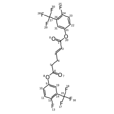 O=C(/C=C/CCC(=O)Oc1ccc(F)c(C(F)(F)F)c1)Oc1ccc(F)c(C(F)(F)F)c1